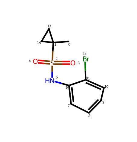 CC1(S(=O)(=O)Nc2ccccc2Br)CC1